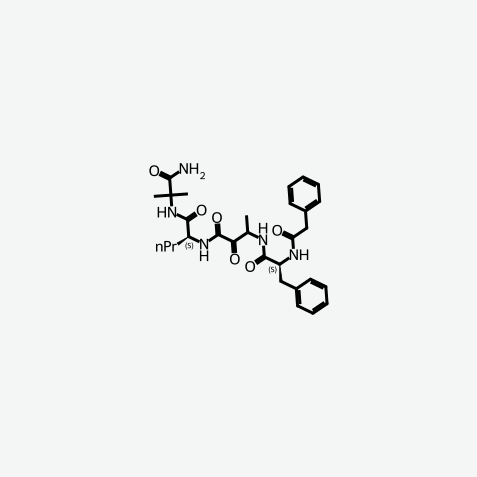 CCC[C@H](NC(=O)C(=O)C(C)NC(=O)[C@H](Cc1ccccc1)NC(=O)Cc1ccccc1)C(=O)NC(C)(C)C(N)=O